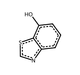 Oc1cccc2ncsc12